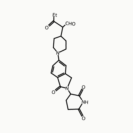 CCC(=O)C(C=O)C1CCN(c2ccc3c(c2)CN(C2CCC(=O)NC2=O)C3=O)CC1